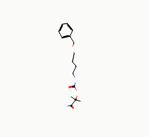 CC(C)(OC(=O)NCC[CH]COCc1ccccc1)C(N)=O